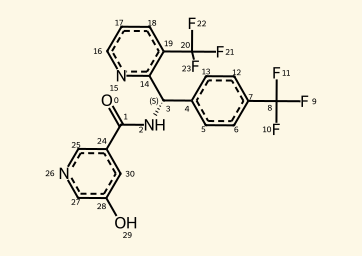 O=C(N[C@@H](c1ccc(C(F)(F)F)cc1)c1ncccc1C(F)(F)F)c1cncc(O)c1